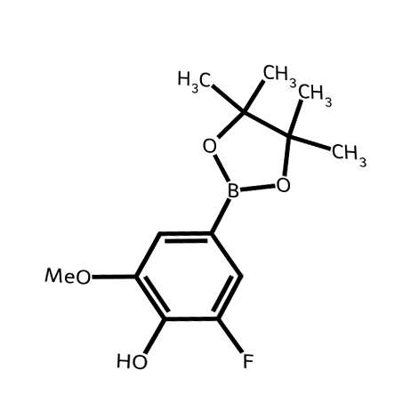 COc1cc(B2OC(C)(C)C(C)(C)O2)cc(F)c1O